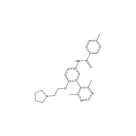 Cc1ccc(C(=O)Nc2ccc(OCCN3CCCC3)c(-c3c(C)ncnc3C)c2)cc1